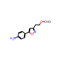 Nc1ccc(-c2cc(CCOC=O)no2)cc1